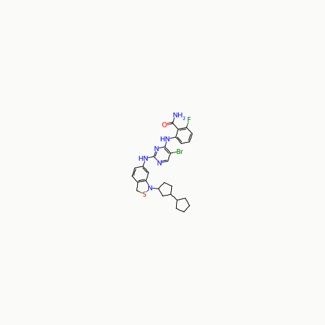 NC(=O)c1c(F)cccc1Nc1nc(Nc2ccc3c(c2)N(C2CCC(C4CCCC4)C2)SC3)ncc1Br